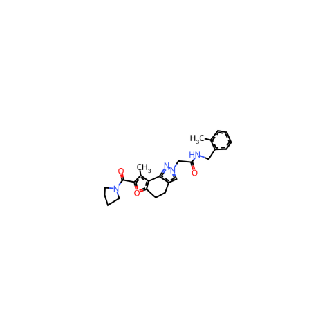 Cc1ccccc1CNC(=O)Cn1cc2c(n1)-c1c(oc(C(=O)N3CCCC3)c1C)CC2